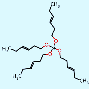 CC/C=C/CCO[Si](OCC/C=C/CC)(OCC/C=C/CC)OCC/C=C/CC